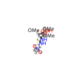 COC[C@H]1C[C@@H](NC(=S)NCCN2C(=O)C=CC2=O)C(OC)[C@H]1OP(=O)(O)OC